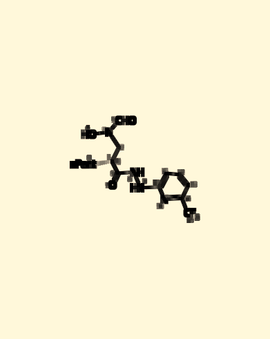 CCCCC[C@H](CN(O)C=O)C(=O)NNc1cccc(C(F)(F)F)n1